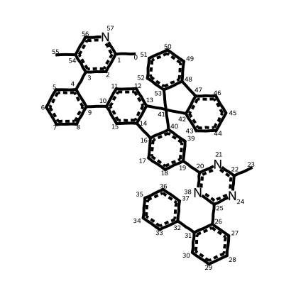 Cc1cc(-c2ccccc2-c2ccc3c(c2)-c2ccc(-c4nc(C)nc(-c5ccccc5-c5ccccc5)n4)cc2C32c3ccccc3-c3ccccc32)c(C)cn1